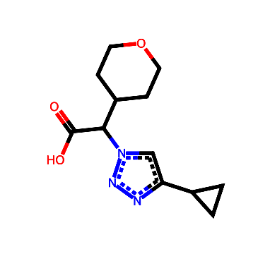 O=C(O)C(C1CCOCC1)n1cc(C2CC2)nn1